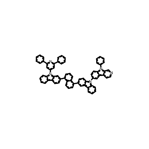 c1ccc(-c2cc(-n3c4ccccc4c4ccc(-c5cccc6c(-c7ccc8c(c7)c7ccccc7n8-c7ccc8c(c7)c7ccncc7n8-c7ccccc7)cccc56)cc43)cc(-c3ccccc3)n2)cc1